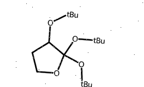 CC(C)(C)OC1CCOC1(OC(C)(C)C)OC(C)(C)C